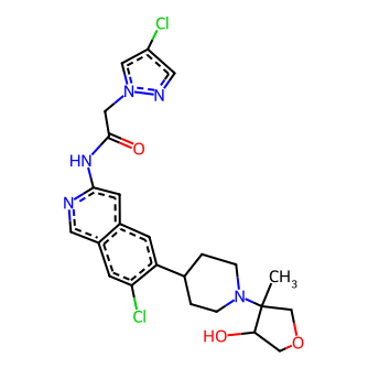 CC1(N2CCC(c3cc4cc(NC(=O)Cn5cc(Cl)cn5)ncc4cc3Cl)CC2)COCC1O